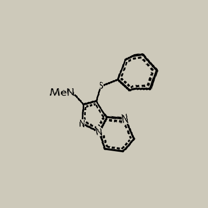 CNc1nn2cccnc2c1Sc1ccccc1